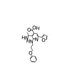 CC(=N)c1c(C(=O)O)cc(-c2ccco2)nc1NCCCOc1ccccc1